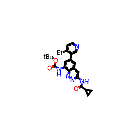 CCc1ccncc1-c1cc(NC(=O)OC(C)(C)C)c2nnc(NC(=O)C3CC3)cc2c1